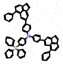 C1=Cc2cc(-c3ccc(N(c4ccc(-c5cc6c7c(ccc(-c8ccccc8)c7c5)C=C6)cc4)c4ccc(S(c5ccccc5)(c5ccccc5)c5ccccc5)cc4)cc3)cc3c(-c4ccccc4)ccc1c23